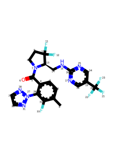 Cc1ccc(C(=O)N2CCC(F)(F)[C@H]2CNc2ncc(C(F)(F)F)cn2)c(-n2nccn2)c1F